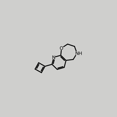 C1=CC(c2ccc3c(n2)OCCNC3)=C1